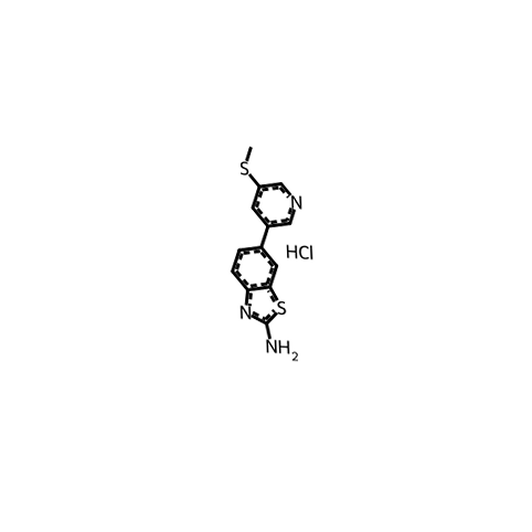 CSc1cncc(-c2ccc3nc(N)sc3c2)c1.Cl